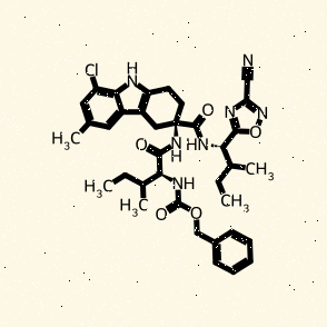 CCC(C)[C@H](NC(=O)OCc1ccccc1)C(=O)N[C@]1(C(=O)N[C@H](c2nc(C#N)no2)C(C)CC)CCc2[nH]c3c(Cl)cc(C)cc3c2C1